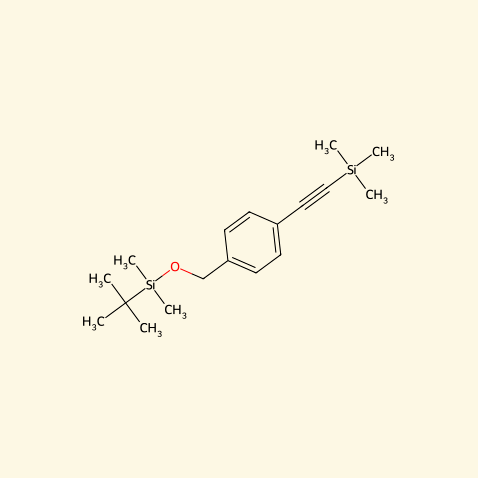 CC(C)(C)[Si](C)(C)OCc1ccc(C#C[Si](C)(C)C)cc1